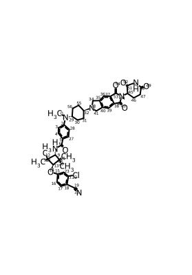 CN(c1ccc(C(=O)N[C@H]2C(C)(C)[C@H](Oc3ccc(C#N)c(Cl)c3)C2(C)C)cc1)[C@H]1CC[C@H](N2Cc3cc4c(cc3C2)C(=O)N(C2CCC(=O)NC2=O)C4=O)CC1